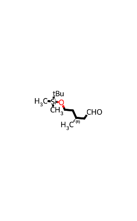 C[C@@H](CC=O)CCO[Si](C)(C)C(C)(C)C